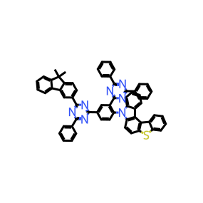 CC1(C)c2ccccc2-c2cc(-c3nc(-c4ccccc4)nc(-c4ccc(-n5c6ccccc6c6c7c(ccc65)sc5ccccc57)c(-c5nc(-c6ccccc6)nc(-c6ccccc6)n5)c4)n3)ccc21